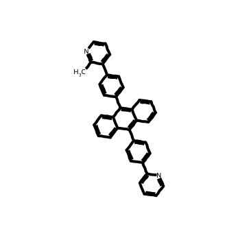 Cc1ncccc1-c1ccc(-c2c3ccccc3c(-c3ccc(-c4ccccn4)cc3)c3ccccc23)cc1